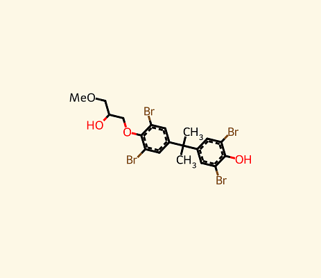 COCC(O)COc1c(Br)cc(C(C)(C)c2cc(Br)c(O)c(Br)c2)cc1Br